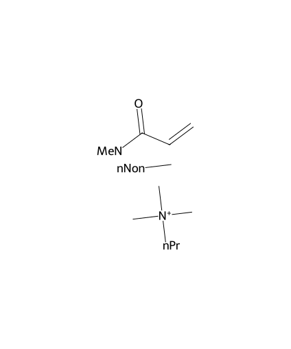 C=CC(=O)NC.CCCCCCCCCC.CCC[N+](C)(C)C